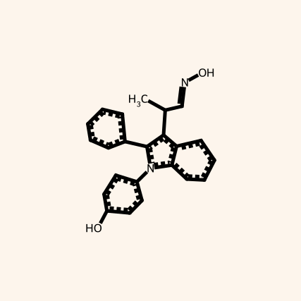 CC(C=NO)c1c(-c2ccccc2)n(-c2ccc(O)cc2)c2ccccc12